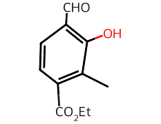 CCOC(=O)c1ccc(C=O)c(O)c1C